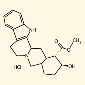 COC(=O)[C@H]1C2CC3c4[nH]c5ccccc5c4CCN3CC2CC[C@@H]1O.Cl